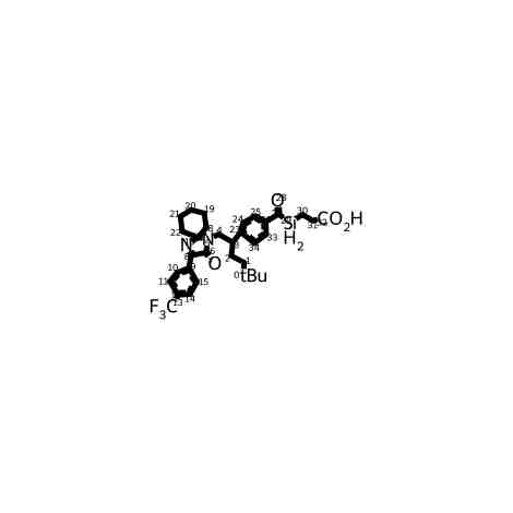 CC(C)(C)CCC(CN1C(=O)C(c2ccc(C(F)(F)F)cc2)=NC12CCCCC2)c1ccc(C(=O)[SiH2]CCC(=O)O)cc1